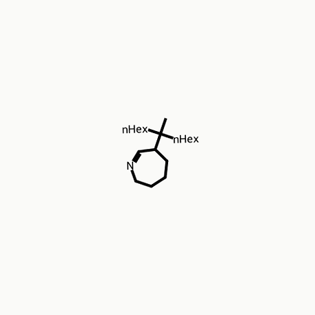 CCCCCCC(C)(CCCCCC)C1C=NCCCC1